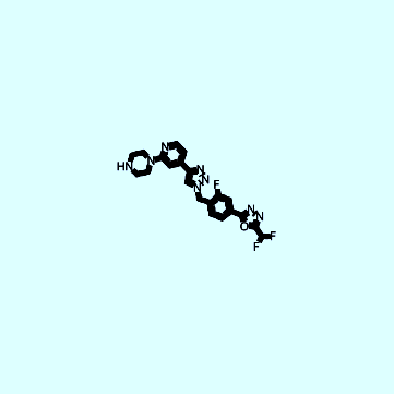 Fc1cc(-c2nnc(C(F)F)o2)ccc1Cn1cc(-c2ccnc(N3CCNCC3)c2)nn1